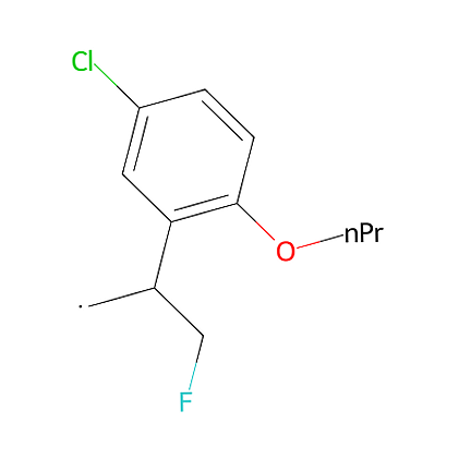 [CH2]C(CF)c1cc(Cl)ccc1OCCC